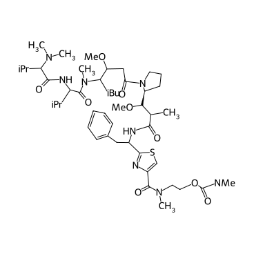 CCC(C)C(C(CC(=O)N1CCC[C@H]1C(OC)C(C)C(=O)NC(Cc1ccccc1)c1nc(C(=O)N(C)CCOC(=O)NC)cs1)OC)N(C)C(=O)C(NC(=O)C(C(C)C)N(C)C)C(C)C